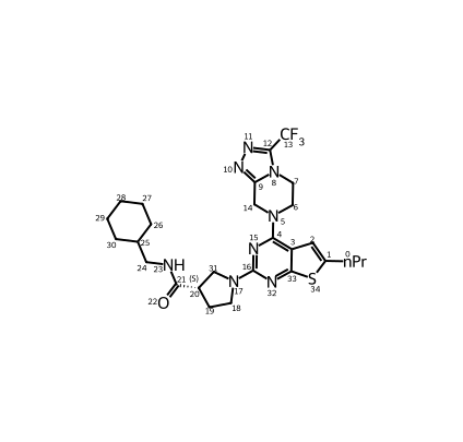 CCCc1cc2c(N3CCn4c(nnc4C(F)(F)F)C3)nc(N3CC[C@H](C(=O)NCC4CCCCC4)C3)nc2s1